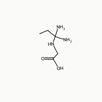 CCC(N)(N)NCC(=O)O